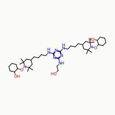 CC1(C)CC(CCCCNc2nc(NCCO)nc(NCCCCC3CC(C)(C)N(OC4CCCCC4O)C(C)(C)C3)n2)CC(C)(C)N1OC1CCCCC1O